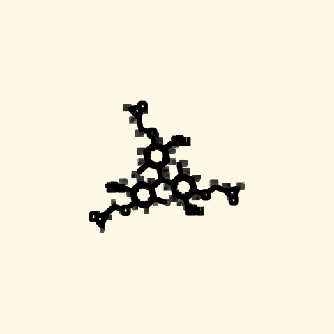 Cc1cc(OCC2CO2)c(C(C)(C)C)cc1C(c1cc(C(C)(C)C)c(OCC2CO2)cc1C)c1cc(C(C)(C)C)c(OCC2CO2)cc1C